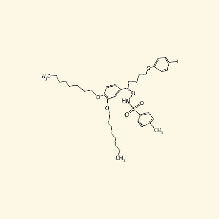 CCCCCCCCOc1ccc(/C(CCCCOc2ccc(I)cc2)=N\NS(=O)(=O)c2ccc(C)cc2)cc1OCCCCCCCC